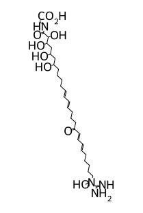 N=C(N)N(O)CCCCC/C=C/C=C/C(=O)CCC/C=C/C=C/CCCCC(O)CC(O)CC(O)C(O)C(=O)NCC(=O)O